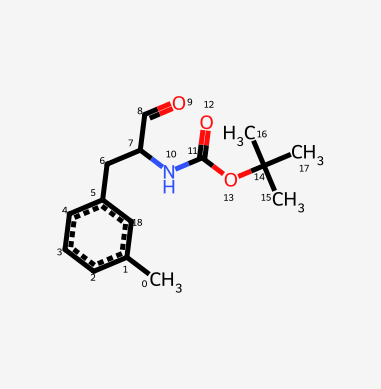 Cc1cccc(CC(C=O)NC(=O)OC(C)(C)C)c1